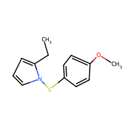 CCc1cccn1Sc1ccc(OC)cc1